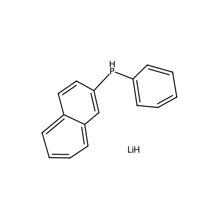 [LiH].c1ccc(Pc2ccc3ccccc3c2)cc1